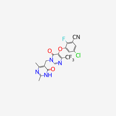 Cc1nc(C)c(Cn2cnc(C(F)(F)F)c(Oc3cc(Cl)cc(C#N)c3F)c2=O)c(=O)[nH]1